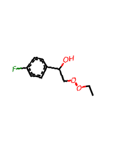 CCOOCC(O)c1ccc(F)cc1